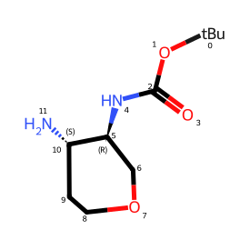 CC(C)(C)OC(=O)N[C@H]1COCC[C@@H]1N